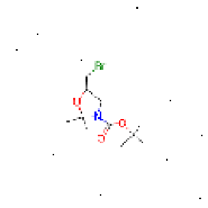 CC(C)(C)OC(=O)N1CC(CBr)OC1(C)C